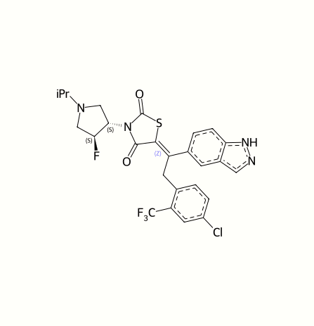 CC(C)N1C[C@H](F)[C@@H](N2C(=O)S/C(=C(/Cc3ccc(Cl)cc3C(F)(F)F)c3ccc4[nH]ncc4c3)C2=O)C1